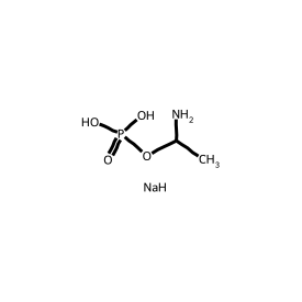 CC(N)OP(=O)(O)O.[NaH]